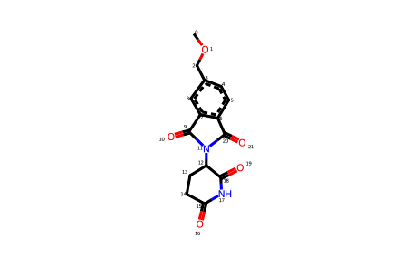 COCc1ccc2c(c1)C(=O)N(C1CCC(=O)NC1=O)C2=O